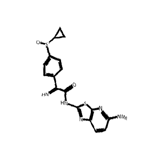 CNc1ccc2nc(NC(=O)C(=N)c3ccc([S+]([O-])C4CC4)cc3)sc2n1